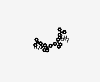 CC1(C)c2cc(N(c3ccccc3)c3ccccc3)ccc2-c2ccc(N(c3ccc(-c4ccc(N(c5ccc6c(c5)C(C)(C)c5cc(N(c7ccccc7)c7ccccc7)ccc5-6)c5cccc6ccccc56)cc4)cc3)c3cccc4ccccc34)cc21